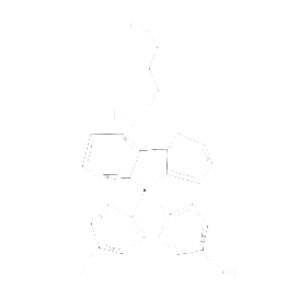 O=C(O)CCCC(=O)O.Oc1ccc(C2(c3ccc(O)cc3)c3ccccc3-c3ccccc32)cc1